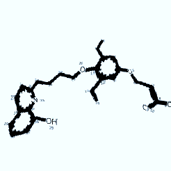 CCc1cc(OCC=C(Cl)Cl)cc(CC)c1OCCCCc1ccc2cccc(O)c2n1